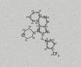 FC(F)(F)c1cnn(Cc2nc3cnc4ccccc4c3n2C2CCOCC2)c1